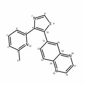 Cc1cccc(-c2ncsc2-c2ccc3nccnc3c2)n1